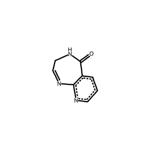 O=C1NCC=Nc2ncccc21